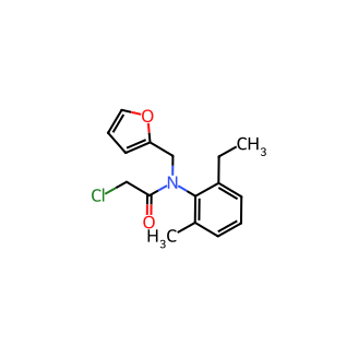 CCc1cccc(C)c1N(Cc1ccco1)C(=O)CCl